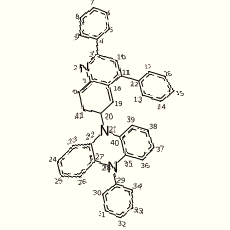 C1=c2nc(-c3ccccc3)cc(-c3ccccc3)c2=CC(N2c3ccccc3N(c3ccccc3)c3ccccc32)C1